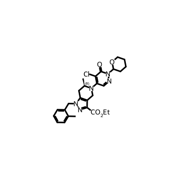 CCOC(=O)c1nn(Cc2ccccc2C)c2c1CN(c1cnn(C3CCCCO3)c(=O)c1Cl)[C@H](C)C2